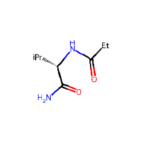 CCC(=O)N[C@H](C(N)=O)C(C)C